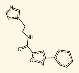 O=C(NCCn1ccnc1)c1cc(-c2ccccc2)no1